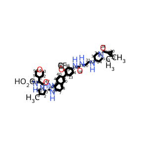 C[C@H]1C[C@@H](C2Nc3ccc4cc(-c5ccc(NC(=O)NCCNC6CCN(C(=O)C7CC7(C)C)CC6)cc5OC(F)(F)F)ccc4c3N2)N(C(=O)[C@@H](NC(=O)O)C2CCOCC2)C1